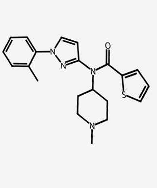 Cc1ccccc1-n1ccc(N(C(=O)c2cccs2)C2CCN(C)CC2)n1